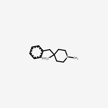 CCOC(=O)C1(Cc2ccccc2)CCN(C)CC1